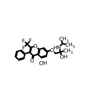 CC(C)NC(C)(O)COc1ccc2c(=O)c(-c3ccccc3)c(C(F)(F)F)oc2c1.Cl